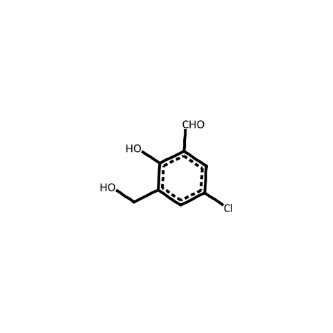 O=Cc1cc(Cl)cc(CO)c1O